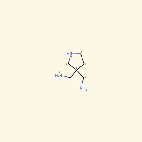 NCC1(CN)CCNC1